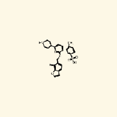 Cc1ccc(S(=O)(=O)O)cc1.Fc1c(COc2cccc(C3CCNCC3)n2)ccc2ccoc12